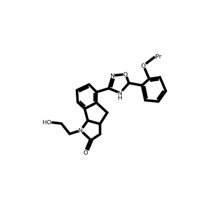 CC(C)Oc1ccccc1C1NC(c2cccc3c2CC2CC(=O)N(CCO)C32)=NO1